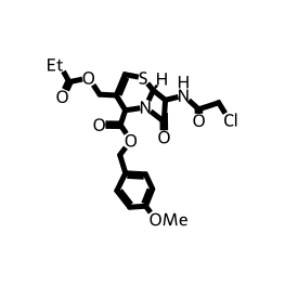 CCC(=O)OCC1=CS[C@H]2C(NC(=O)CCl)C(=O)N2C1C(=O)OCc1ccc(OC)cc1